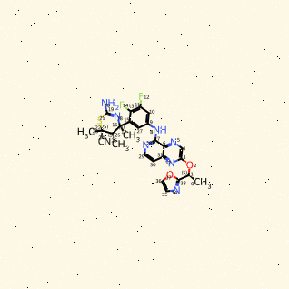 C[C@H](Oc1cnc2c(Nc3cc(F)c(F)c([C@@]4(C)N=C(N)S[C@](C)(C#N)[C@H]4C)c3)nccc2n1)c1ncco1